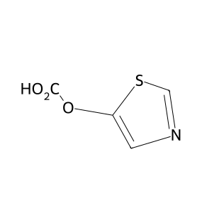 O=C(O)Oc1cncs1